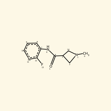 CN1CC(C(=O)Nc2cccnc2F)C1